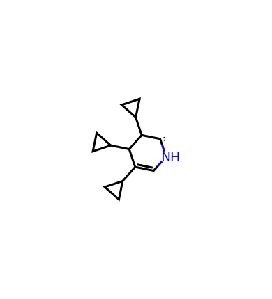 [C]1NC=C(C2CC2)C(C2CC2)C1C1CC1